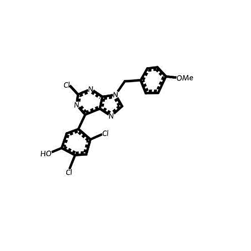 COc1ccc(Cn2cnc3c(-c4cc(O)c(Cl)cc4Cl)nc(Cl)nc32)cc1